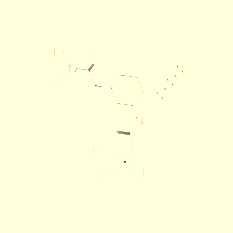 CN(C)C(=O)C[C@H]1CC[C@H](N=[N+]=[N-])[C@H](NC(=O)OC(C)(C)C)C1